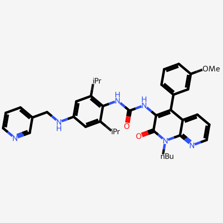 CCCCn1c(=O)c(NC(=O)Nc2c(C(C)C)cc(NCc3cccnc3)cc2C(C)C)c(-c2cccc(OC)c2)c2cccnc21